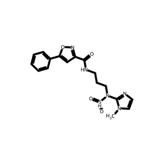 Cn1ccnc1N(CCCNC(=O)c1cc(-c2ccccc2)on1)[SH](=O)=O